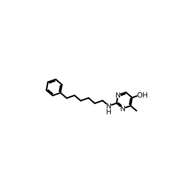 Cc1nc(NCCCCCCc2ccccc2)ncc1O